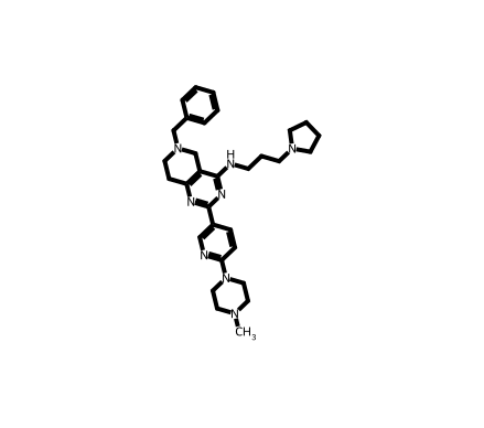 CN1CCN(c2ccc(-c3nc4c(c(NCCCN5CCCC5)n3)CN(Cc3ccccc3)CC4)cn2)CC1